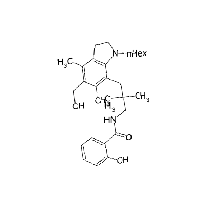 CCCCCCN1CCc2c(C)c(CO)c(C)c(CC(C)(C)CNC(=O)c3ccccc3O)c21